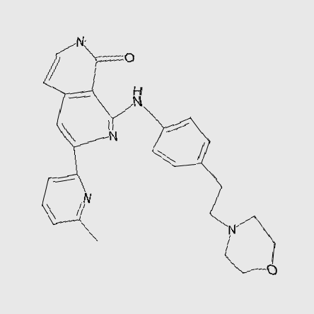 Cc1cccc(-c2cc3c(c(Nc4ccc(CCN5CCOCC5)cc4)n2)C(=O)[N]C=C3)n1